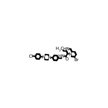 CCC1=C(C(=O)NCc2ccc(N3CCN(c4ccc(Cl)cc4)CC3)cc2)N2C=C(Br)C=CC2=CN1